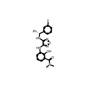 CC(C)[C@@H](Nc1nsnc1Nc1cccc(C(=O)N(C)C)c1O)c1cccc(F)c1